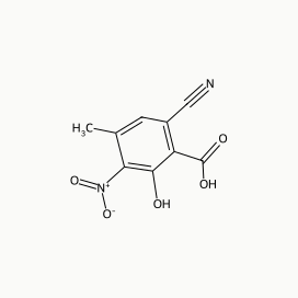 Cc1cc(C#N)c(C(=O)O)c(O)c1[N+](=O)[O-]